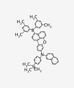 Cc1cc(C)cc(B(c2cc(C)cc(C)c2)c2ccc3c4c(cccc24)Oc2cc(N(c4ccc([Si](C)(C)C)cc4)c4ccc5ccccc5c4)ccc2-3)c1